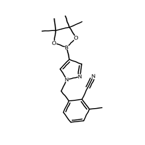 Cc1cccc(Cn2cc(B3OC(C)(C)C(C)(C)O3)cn2)c1C#N